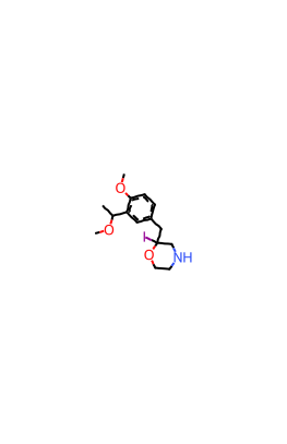 COc1ccc(CC2(I)CNCCO2)cc1C(C)OC